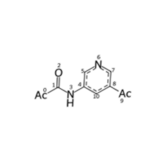 CC(=O)C(=O)Nc1cncc(C(C)=O)c1